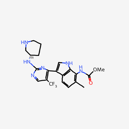 COC(=O)Nc1c(C)ccc2c(-c3nc(N[C@H]4CCCNC4)ncc3C(F)(F)F)c[nH]c12